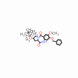 COc1cc2c(cc1OCc1ccccc1)NC(=O)C1CC(O[Si](C)(C)C(C)(C)C)CN1C2=O